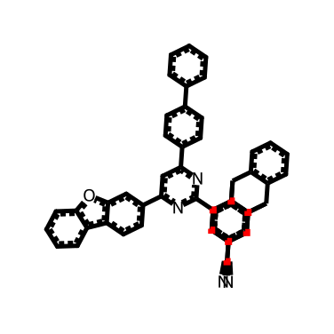 N#Cc1ccc2c(c1)C1c3ccccc3C2c2c(-c3nc(-c4ccc(-c5ccccc5)cc4)cc(-c4ccc5c(c4)oc4ccccc45)n3)cc(C#N)cc21